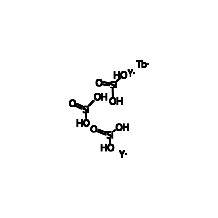 O=[Si](O)O.O=[Si](O)O.O=[Si](O)O.[Tb].[Y].[Y]